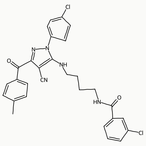 Cc1ccc(C(=O)c2nn(-c3ccc(Cl)cc3)c(NCCCCNC(=O)c3cccc(Cl)c3)c2C#N)cc1